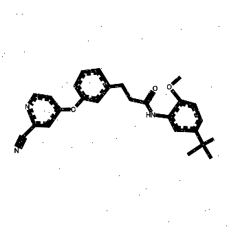 COc1ccc(C(C)(C)C)cc1NC(=O)CCc1cccc(Oc2ccnc(C#N)c2)c1